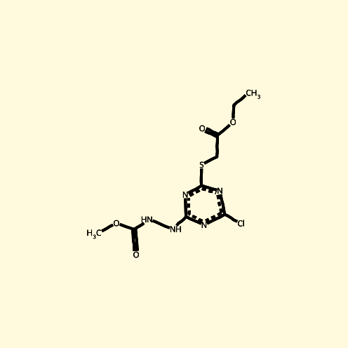 CCOC(=O)CSc1nc(Cl)nc(NNC(=O)OC)n1